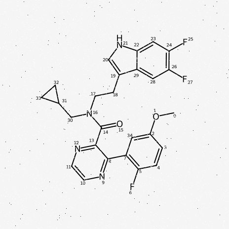 COc1ccc(F)c(-c2nccnc2C(=O)N(CCc2c[nH]c3cc(F)c(F)cc23)CC2CC2)c1